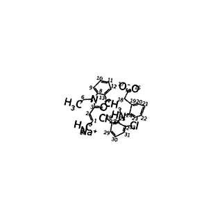 C/C=C/C(=O)N(CC)c1ccccc1C.O=C([O-])Cc1ccccc1Nc1c(Cl)cccc1Cl.[Na+]